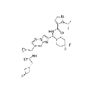 CC(C)n1nccc1C(=O)N[C@H](c1cn2ncc([C@H](NC(=O)C[C@H]3C[C@H](F)C3)C3CC3)cc2n1)C1CCC(F)(F)CC1